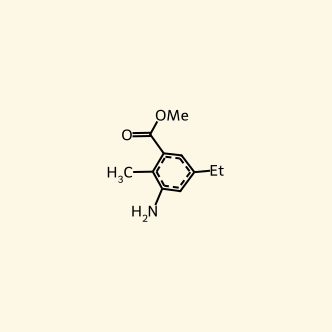 CCc1cc(N)c(C)c(C(=O)OC)c1